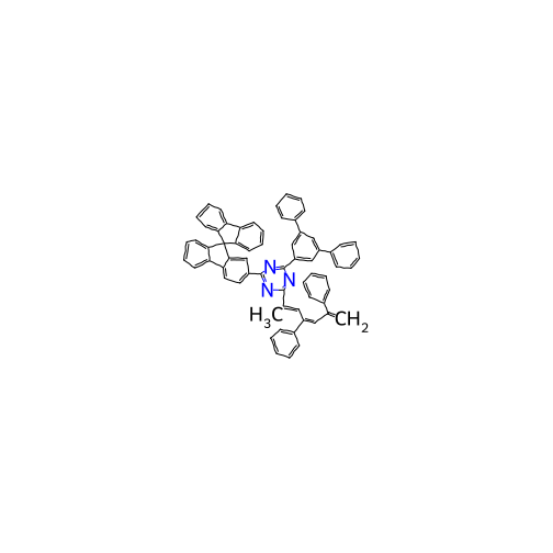 C=C(/C=C(\C=C(/C)c1nc(-c2cc(-c3ccccc3)cc(-c3ccccc3)c2)nc(-c2ccc3c(c2)C2(c4ccccc4-c4ccccc42)c2ccccc2-3)n1)c1ccccc1)c1ccccc1